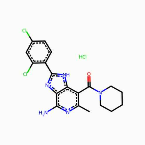 Cc1nc(N)c2nc(-c3ccc(Cl)cc3Cl)[nH]c2c1C(=O)N1CCCCC1.Cl